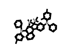 Cc1ccc(N(c2ccccc2)c2ccc3c(c2)C([Si](C)(C)C)([Si](C)(C)C)c2cc(N(c4ccccc4)c4ccc(C)cc4C)c4ccccc4c2-3)c(C)c1